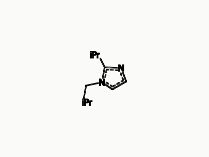 CC(C)Cn1ccnc1C(C)C